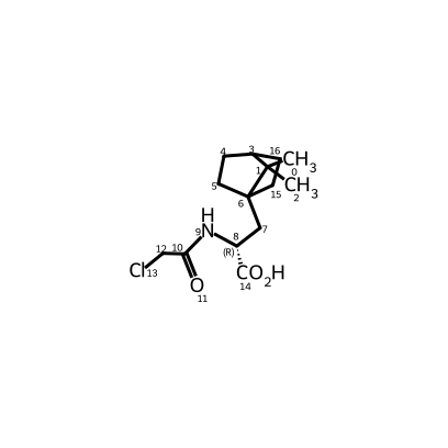 CC1(C)C2CCC1(C[C@@H](NC(=O)CCl)C(=O)O)CC2